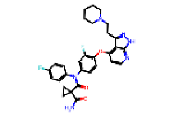 NC(=O)C1(C(=O)N(c2ccc(F)cc2)c2ccc(Oc3ccnc4[nH]nc(CCN5CCCCC5)c34)c(F)c2)CC1